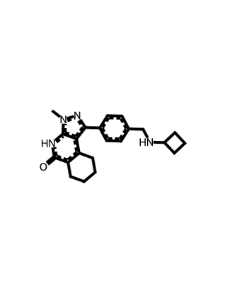 Cn1nc(-c2ccc(CNC3CCC3)cc2)c2c3c(c(=O)[nH]c21)CCCC3